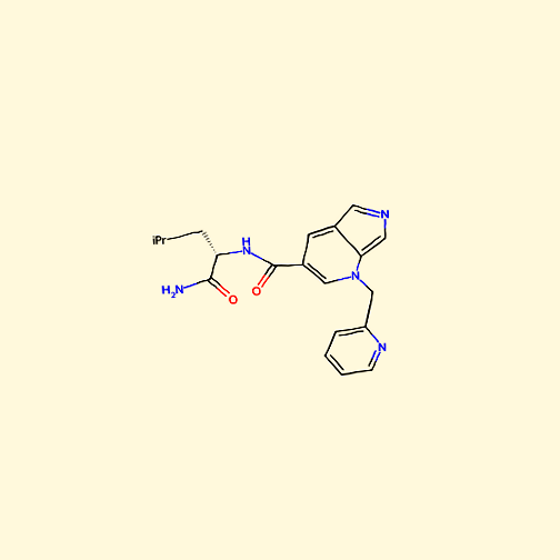 CC(C)C[C@H](NC(=O)c1cc2cncc-2n(Cc2ccccn2)c1)C(N)=O